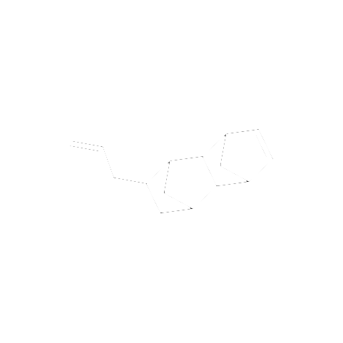 C=CCC1CC2CC1C1C3C=CC(C3)C21